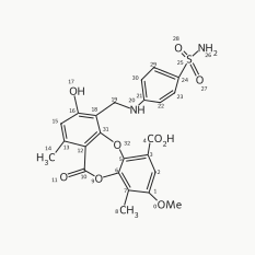 COc1cc(C(=O)O)c2c(c1C)OC(=O)c1c(C)cc(O)c(CNc3ccc(S(N)(=O)=O)cc3)c1O2